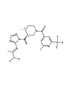 C=C([C@@H]1CN(C(=O)c2cc(C)nc(C(F)(F)F)c2)CC[C@H]1C)n1ncnc1/N=C(\C)C(F)F